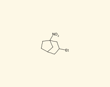 CCC1CC2CCC([N+](=O)[O-])(C1)C2